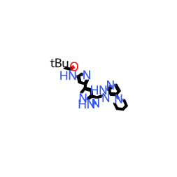 CC(C)(C)CC(=O)Nc1cncc(-c2cnc3[nH]nc(-c4nc5c(N6CCCCC6)ccnc5[nH]4)c3c2)c1